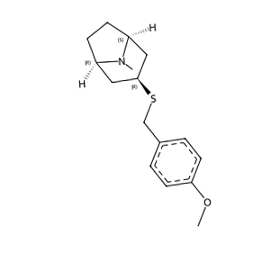 COc1ccc(CS[C@H]2C[C@H]3CC[C@@H](C2)N3C)cc1